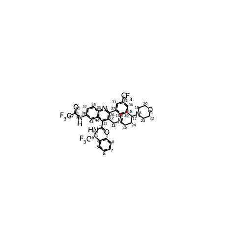 O=C(N[C@H](c1ccccc1)C(F)(F)F)c1c(CN2CCC(N3CCOCC3)CC2)c(-c2cccc(C(F)(F)F)c2)nc2ccc(NC(=O)C(F)(F)F)cc12